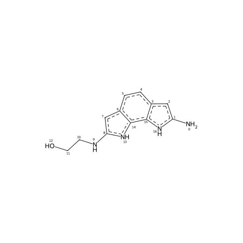 Nc1cc2ccc3cc(NCCO)[nH]c3c2[nH]1